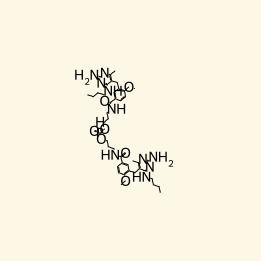 CCCCNc1nc(N)nc(C)c1Cc1cc(C(=O)NCCCO[PH](=O)OCCCNC(=O)c2ccc(OC)c(Cc3c(C)nc(N)nc3NCCCC)c2)ccc1OC